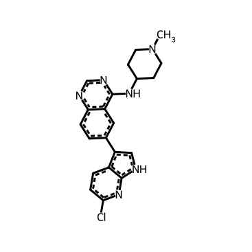 CN1CCC(Nc2ncnc3ccc(-c4c[nH]c5nc(Cl)ccc45)cc23)CC1